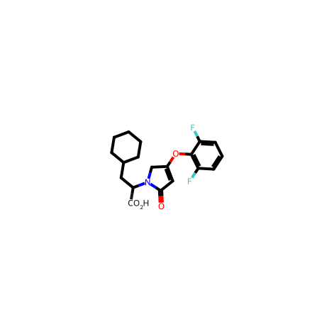 O=C(O)C(CC1CCCCC1)N1CC(Oc2c(F)cccc2F)=CC1=O